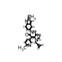 Cc1ccc(-c2c(=O)n(-c3ccc4nn(C)cc4c3)nc3ncn(CC4CC4)c23)cn1